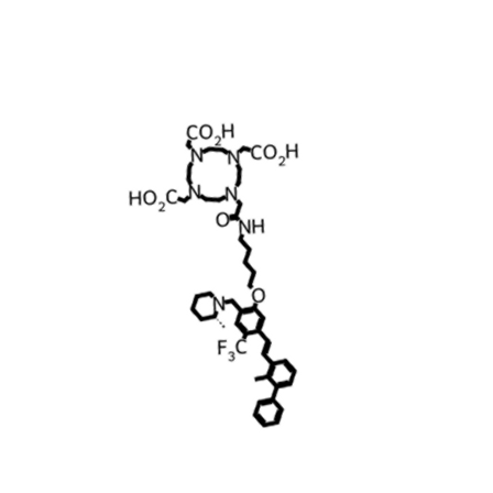 Cc1c(/C=C/c2cc(OCCCCCNC(=O)CN3CCN(CC(=O)O)CCN(CC(=O)O)CCN(CC(=O)O)CC3)c(CN3CCCC[C@H]3C)cc2C(F)(F)F)cccc1-c1ccccc1